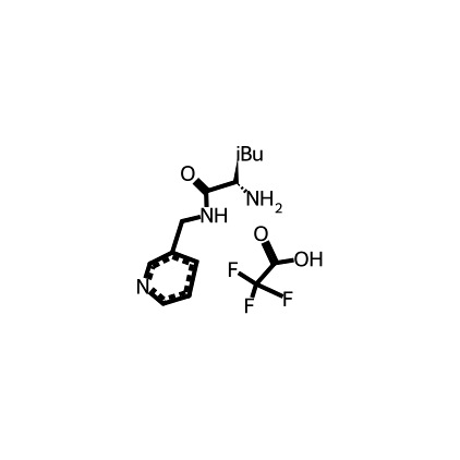 CC[C@H](C)[C@H](N)C(=O)NCc1cccnc1.O=C(O)C(F)(F)F